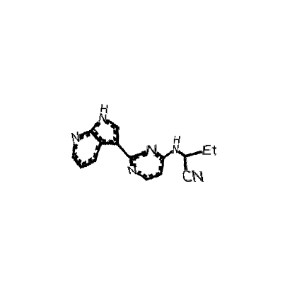 CCC(C#N)Nc1ccnc(-c2c[nH]c3ncccc23)n1